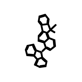 CC1(C)c2ccccc2-c2ccc3c(-n4c5ccccc5c5ccccc54)cccc3c21